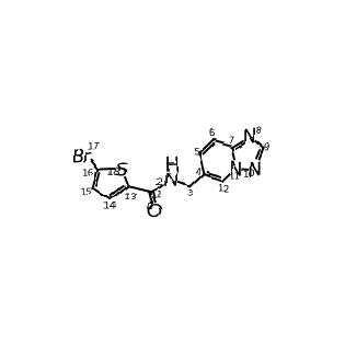 O=C(NCc1ccc2ncnn2c1)c1ccc(Br)s1